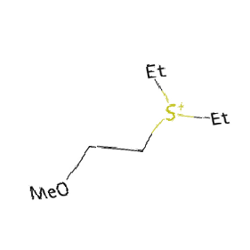 CC[S+](CC)CCOC